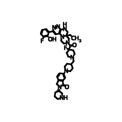 CCC12CNc3nnc(-c4cccc(F)c4O)cc3N1CCN(C(=O)C1(F)CCN(CC3CCN(c4ccc5c(c4)C(=O)N([C@H]4CCCNC4)C5)CC3)CC1)C2